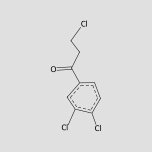 O=C(CCCl)c1ccc(Cl)c(Cl)c1